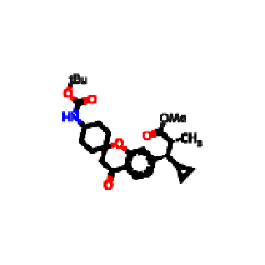 COC(=O)[C@H](C)[C@H](c1ccc2c(c1)OC1(CCC(NC(=O)OC(C)(C)C)CC1)CC2=O)C1CC1